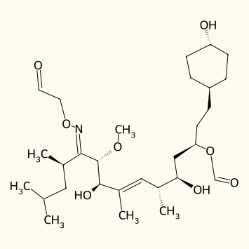 CO[C@@H](/C(=N/OCC=O)[C@H](C)CC(C)C)[C@H](O)/C(C)=C/[C@@H](C)[C@H](O)C[C@@H](CC[C@H]1CC[C@H](O)CC1)OC=O